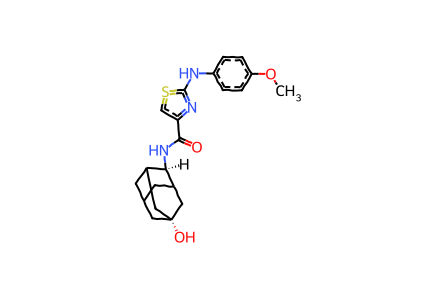 COc1ccc(Nc2nc(C(=O)N[C@H]3C4CC5CC3C[C@](O)(C5)C4)cs2)cc1